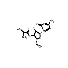 CCCC(N)C(=O)NC1[C@@H](CO)O[C@@H](n2ccc(N)nc2=O)[C@H]1O